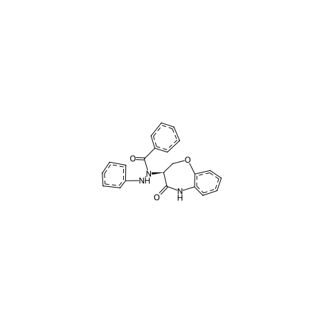 O=C1Nc2ccccc2OC[C@@H]1N(Nc1ccccc1)C(=O)c1ccccc1